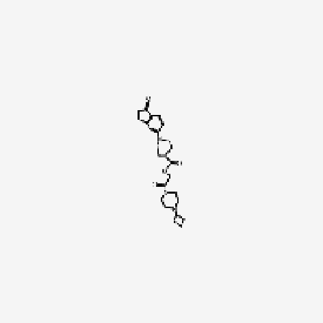 O=C1CCc2cc(N3CCC(C(=O)OCC(=O)N4CCN(C5CCC5)CC4)CC3)ccc21